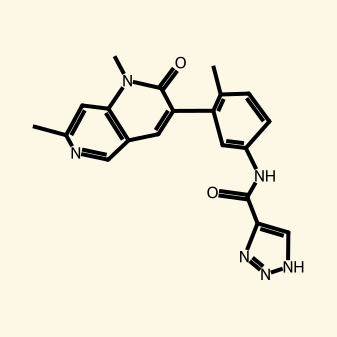 Cc1cc2c(cn1)cc(-c1cc(NC(=O)c3c[nH]nn3)ccc1C)c(=O)n2C